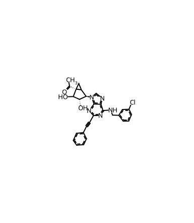 CC(=O)[C@]12CC1[C@@H](n1cnc3c(NCc4cccc(Cl)c4)nc(C#Cc4ccccc4)nc31)[C@H](O)C2O